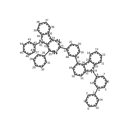 c1ccc(-c2cccc(-n3c4ccccc4c4c(-c5cccc(-c6nc(-c7ccccc7)c7c(n6)c6ccccc6n7-c6ccccc6)c5)cccc43)c2)cc1